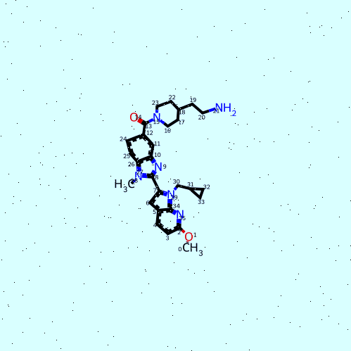 COc1ccc2cc(-c3nc4cc(C(=O)N5CCC(CCN)CC5)ccc4n3C)n(CC3CC3)c2n1